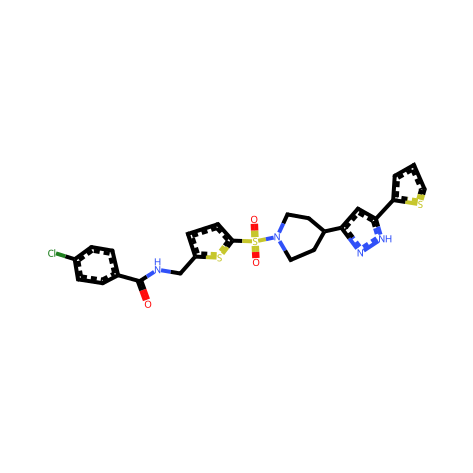 O=C(NCc1ccc(S(=O)(=O)N2CCC(c3cc(-c4cccs4)[nH]n3)CC2)s1)c1ccc(Cl)cc1